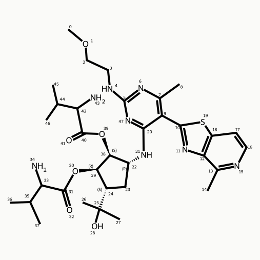 COCCNc1nc(C)c(-c2nc3c(C)nccc3s2)c(N[C@@H]2C[C@H](C(C)(C)O)[C@@H](OC(=O)C(N)C(C)C)[C@H]2OC(=O)C(N)C(C)C)n1